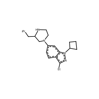 CCc1nn(C2CCC2)c2cc(N3CCNC(CC(C)C)C3)ccc12